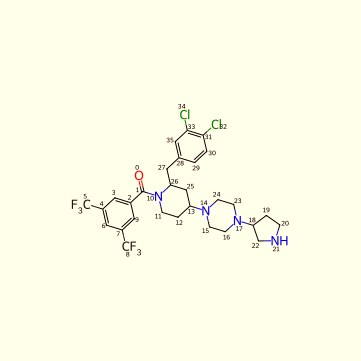 O=C(c1cc(C(F)(F)F)cc(C(F)(F)F)c1)N1CCC(N2CCN(C3CCNC3)CC2)CC1Cc1ccc(Cl)c(Cl)c1